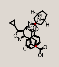 O=C(O)c1cccc(-c2nnc(N3[C@@H]4CC[C@H]3CC(OCc3c(-c5c(Cl)cccc5Cl)noc3C3CC3)C4)o2)c1